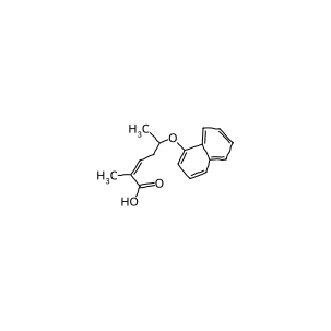 CC(=CCC(C)Oc1cccc2ccccc12)C(=O)O